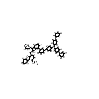 C=C/C=C\C(Cc1oc2c(-c3cccc(-c4ccc(N(c5ccc(-c6ccccc6)cc5)c5ccc(-c6ccccc6)cc5)cc4)c3)cccc2c1C/C=C\C)=C1/Cc2ccccc2O1